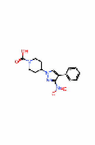 O=C(O)N1CCC(n2cc(-c3ccccc3)c([N+](=O)[O-])n2)CC1